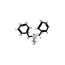 [F-].[F-].c1ccc([CH2][Ti+2][CH2]c2ccccc2)cc1